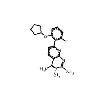 CN1C(N)=Nc2nc(-c3c(F)cccc3OC3CCCC3)ccc2C1N